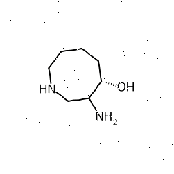 NC1CNCCCC[C@@H]1O